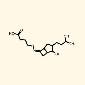 CC(O)CCC1CC2C(=NOCCCC(=O)O)CC2C1O